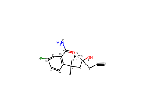 C#CC[C@@](O)(CC(C)(C)c1ccc(F)cc1C(N)=O)C(F)(F)F